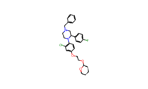 Fc1ccc(C2CN(Cc3ccccc3)CCN2c2ccc(OCCOC3CCCCO3)cc2Cl)cc1